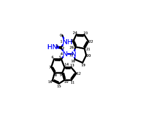 CNC(=N)N(c1ccc2c3c(cccc13)C=C2)N1CCCc2ccccc21